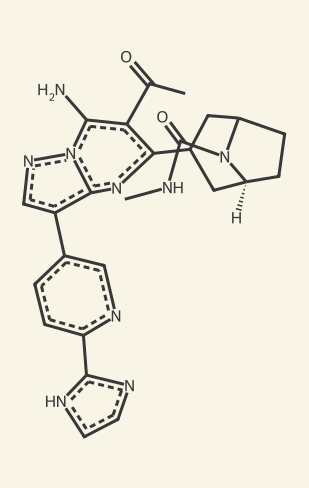 CNC(=O)N1C2CC[C@H]1CC(c1nc3c(-c4ccc(-c5ncc[nH]5)nc4)cnn3c(N)c1C(C)=O)C2